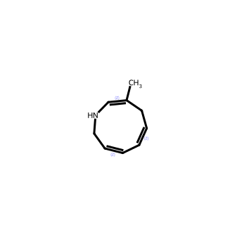 C/C1=C/NC/C=C\C=C/C1